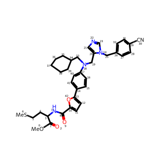 COC(=O)C(CCSC)NC(=O)c1ccc(-c2ccc(N(Cc3cncn3Cc3ccc(C#N)cc3)CC3CCCCC3)cc2)o1